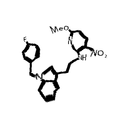 COc1ccc([N+](=O)[O-])c(NCCc2cn(Cc3ccc(F)cc3)c3ccccc23)n1